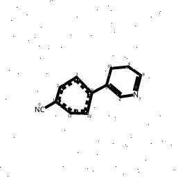 N#Cc1ccc(C2=CN=CCC2)cc1